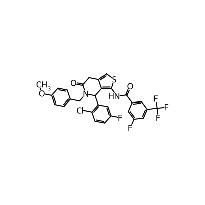 COc1ccc(CN2C(=O)Cc3csc(NC(=O)c4cc(F)cc(C(F)(F)F)c4)c3C2c2cc(F)ccc2Cl)cc1